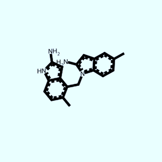 Cc1ccc2c(c1)cc(N)n2Cc1c(C)ccc2[nH]c(N)cc12